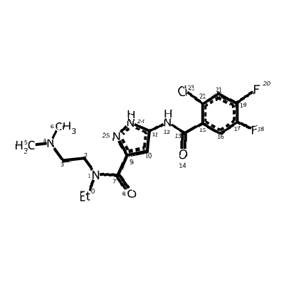 CCN(CCN(C)C)C(=O)c1cc(NC(=O)c2cc(F)c(F)cc2Cl)[nH]n1